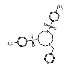 Cc1ccc(S(=O)(=O)N2CCN(Cc3ccccc3)CCN(S(=O)(=O)c3ccc(C)cc3)CC2)cc1